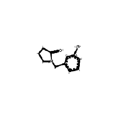 O=C1CCCN1Cc1cccc(Br)c1